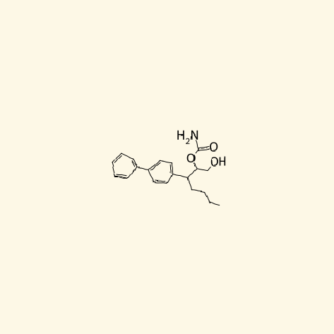 CCCCC(c1ccc(-c2ccccc2)cc1)C(CO)OC(N)=O